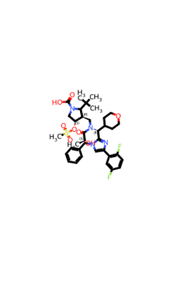 C[C@H](O)C(=O)N(C[C@@H]1C(C(C)(C)C)N(C(=O)O)C[C@H]1OS(C)(=O)=O)[C@@H](c1nc(-c2cc(F)ccc2F)cn1Cc1ccccc1)C1CCOCC1